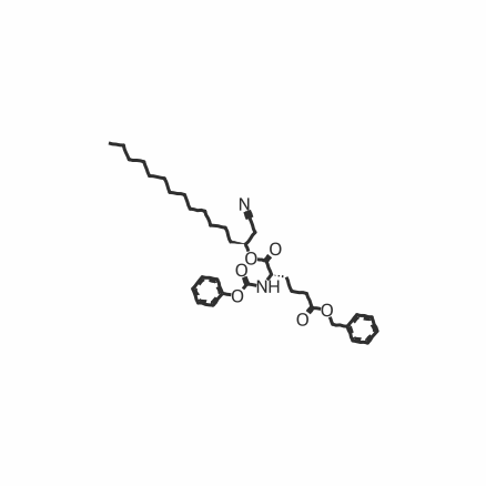 CCCCCCCCCCCCC[C@@H](CC#N)OC(=O)[C@H](CCCC(=O)OCc1ccccc1)NC(=O)Oc1ccccc1